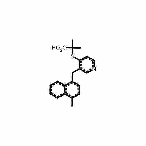 Cc1ccc(Cc2cnccc2SC(C)(C)C(=O)O)c2ccccc12